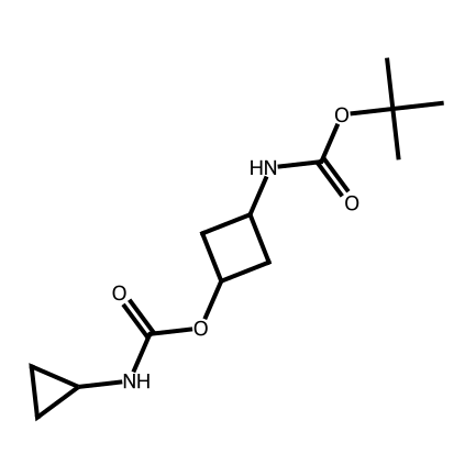 CC(C)(C)OC(=O)NC1CC(OC(=O)NC2CC2)C1